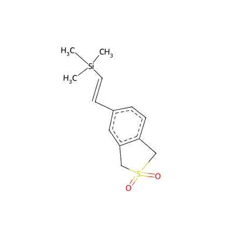 C[Si](C)(C)C=Cc1ccc2c(c1)CS(=O)(=O)C2